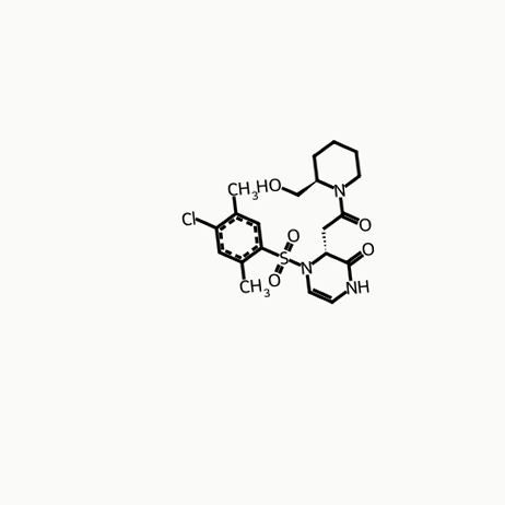 Cc1cc(S(=O)(=O)N2C=CNC(=O)[C@H]2CC(=O)N2CCCC[C@@H]2CO)c(C)cc1Cl